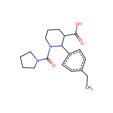 CCc1ccc(C2C(C(=O)O)CCCN2C(=O)N2CCCC2)cc1